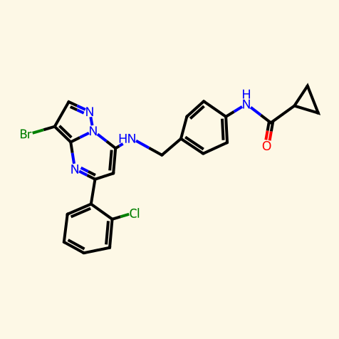 O=C(Nc1ccc(CNc2cc(-c3ccccc3Cl)nc3c(Br)cnn23)cc1)C1CC1